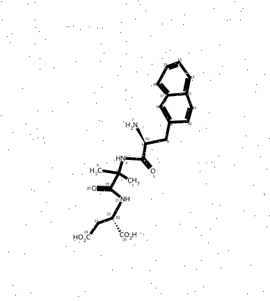 CC(C)(NC(=O)[C@@H](N)Cc1ccc2ccccc2c1)C(=O)N[C@@H](CC(=O)O)C(=O)O